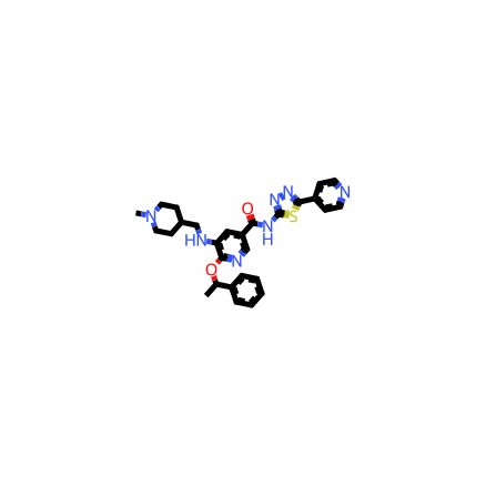 CC(Oc1ncc(C(=O)Nc2nnc(-c3ccncc3)s2)cc1NCC1CCN(C)CC1)c1ccccc1